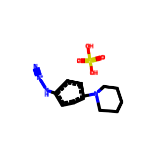 N#[N+]Nc1ccc(N2CCCCC2)cc1.O=S(=O)(O)O